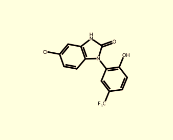 O=c1[nH]c2cc(Cl)ccc2n1-c1cc(C(F)(F)F)ccc1O